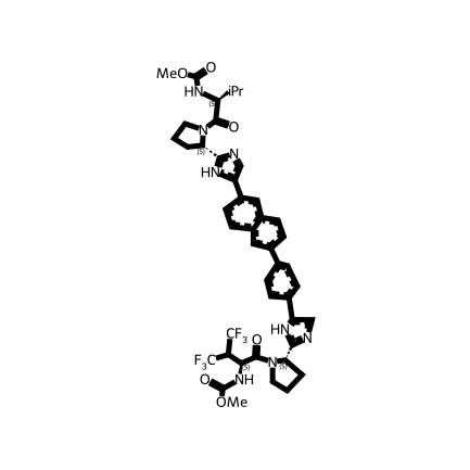 COC(=O)N[C@H](C(=O)N1CCC[C@H]1c1ncc(-c2ccc3cc(-c4ccc(-c5cnc([C@@H]6CCCN6C(=O)[C@@H](NC(=O)OC)C(C(F)(F)F)C(F)(F)F)[nH]5)cc4)ccc3c2)[nH]1)C(C)C